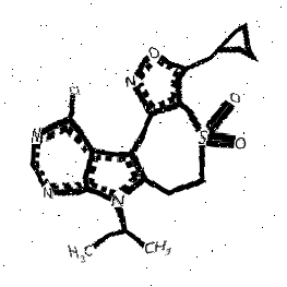 CC(C)n1c2c(c3c(Cl)ncnc31)-c1noc(C3CC3)c1S(=O)(=O)CC2